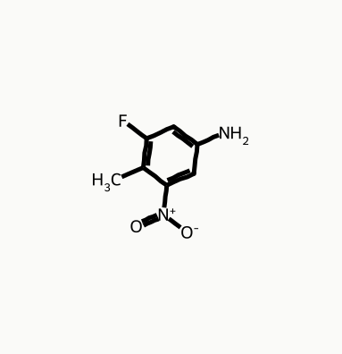 Cc1c(F)cc(N)cc1[N+](=O)[O-]